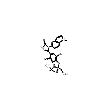 COCP(=O)(NC(C)(C(=O)O)C(C)C)Oc1cc(O)c(-c2n[nH]c(=O)n2-c2ccc3c(ccn3C)c2)cc1C(C)C